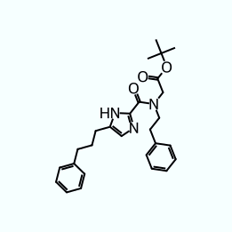 CC(C)(C)OC(=O)CN(CCc1ccccc1)C(=O)c1ncc(CCCc2ccccc2)[nH]1